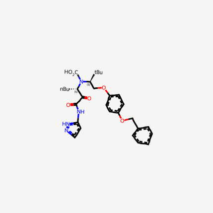 CCCC[C@@H](C(=O)C(=O)Nc1ccn[nH]1)N(C(=O)O)[C@H](COc1ccc(OCc2ccccc2)cc1)C(C)(C)C